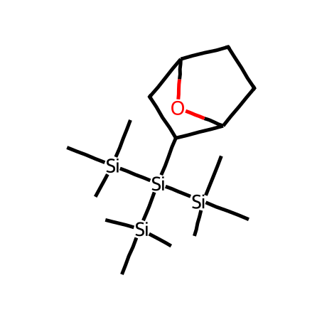 C[Si](C)(C)[Si](C1CC2CCC1O2)([Si](C)(C)C)[Si](C)(C)C